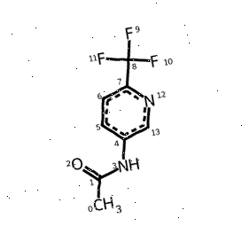 CC(=O)Nc1ccc(C(F)(F)F)nc1